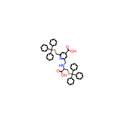 O=C(O)c1cc(CNC(CSC(c2ccccc2)(c2ccccc2)c2ccccc2)C(=O)O)nc(CSC(c2ccccc2)(c2ccccc2)c2ccccc2)c1